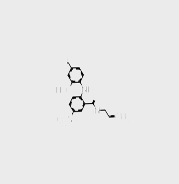 C=CCNC(=O)c1cc([N+](=O)[O-])ccc1Nc1ccc(I)cc1C